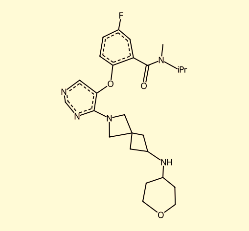 CC(C)N(C)C(=O)c1cc(F)ccc1Oc1cncnc1N1CC2(CC(NC3CCOCC3)C2)C1